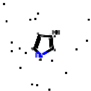 [HH].c1cc[nH]c1